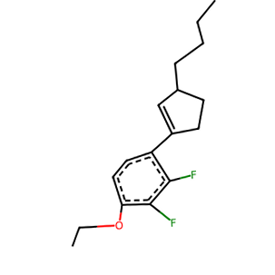 CCCCC1C=C(c2ccc(OCC)c(F)c2F)CC1